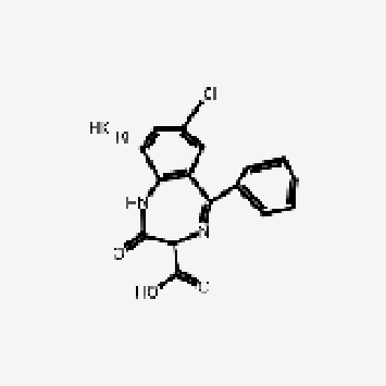 O=C(O)[C@@H]1N=C(c2ccccc2)c2cc(Cl)ccc2NC1=O.[KH].[KH]